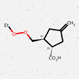 C=C1C[C@H](COOCC)[C@@H](C(=O)O)C1